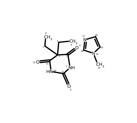 CCC1(CC)C(=O)NC(=O)NC1=O.Cn1ccnc1